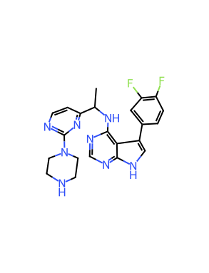 CC(Nc1ncnc2[nH]cc(-c3ccc(F)c(F)c3)c12)c1ccnc(N2CCNCC2)n1